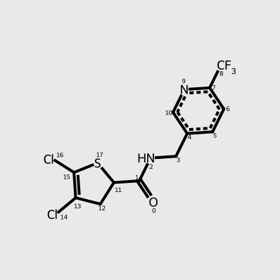 O=C(NCc1ccc(C(F)(F)F)nc1)C1CC(Cl)=C(Cl)S1